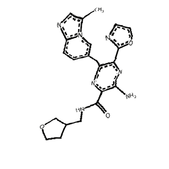 Cc1cnc2ccc(-c3nc(C(=O)NCC4CCOC4)c(N)nc3-c3ncco3)cn12